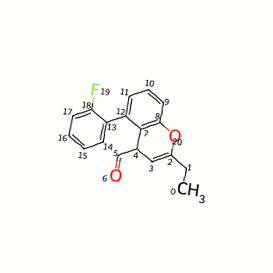 CCC1=CC(C=O)c2c(cccc2-c2ccccc2F)O1